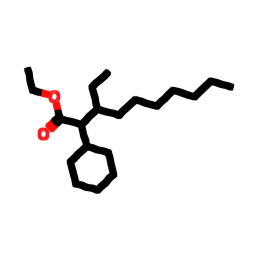 CCCCCCCC(CC)C(C(=O)OCC)C1CCCCC1